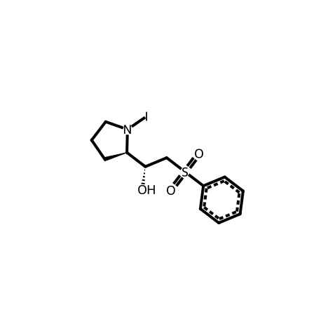 O=S(=O)(C[C@H](O)[C@H]1CCCN1I)c1ccccc1